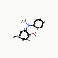 CC(=O)N(c1ccccc1)c1cc(C)ccc1Br